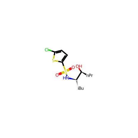 CCC[C@H](O)[C@H](NS(=O)(=O)c1ccc(Cl)s1)[C@@H](C)CC